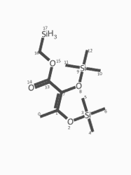 CC(O[Si](C)(C)C)=C(O[Si](C)(C)C)C(=O)OC[SiH3]